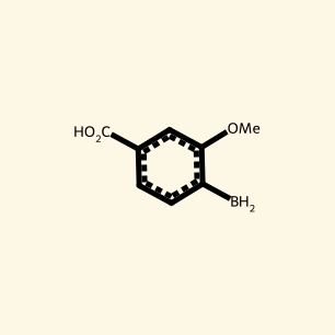 Bc1ccc(C(=O)O)cc1OC